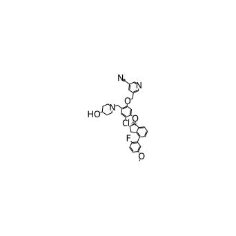 COc1ccc(F)c(-c2cccc3c2CC[C@@H]3Oc2cc(OCc3cncc(C#N)c3)c(CN3CCC(O)CC3)cc2Cl)c1